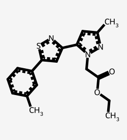 CCOC(=O)Cn1nc(C)cc1-c1cc(-c2cccc(C)c2)sn1